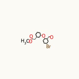 COC(=O)Cc1cccc(Oc2ccc(Br)cc2C=O)c1